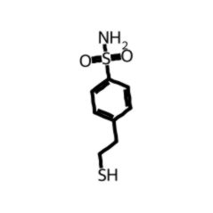 NS(=O)(=O)c1ccc(CCS)cc1